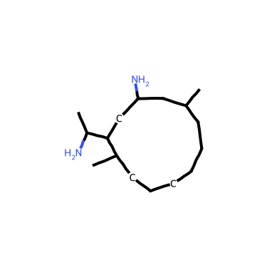 CC1CCCCCCC(C)C(C(C)N)CC(N)C1